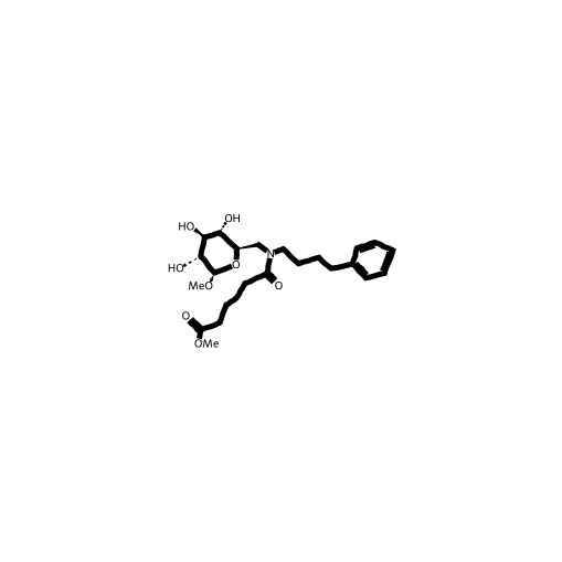 COC(=O)CCCCC(=O)N(CCCCc1ccccc1)C[C@H]1O[C@H](OC)[C@H](O)[C@@H](O)[C@@H]1O